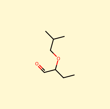 CCC(C=O)OCC(C)C